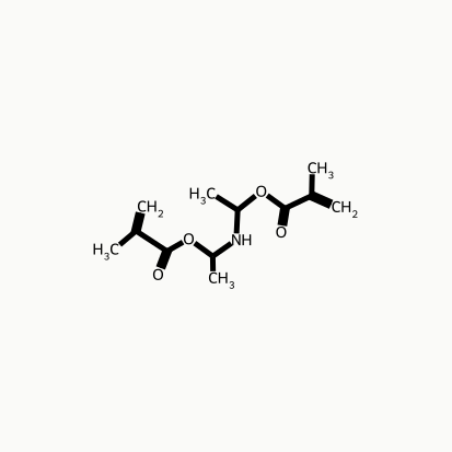 C=C(C)C(=O)OC(C)NC(C)OC(=O)C(=C)C